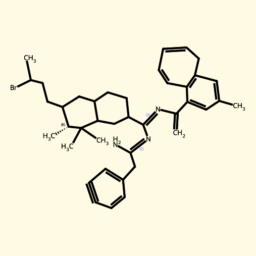 C=C(/N=C(\N=C(/N)Cc1cc#ccc1)C1CCC2CC(CCC(C)Br)[C@@H](C)C(C)(C)C2C1)c1cc(C)cc2c1C=CC=CC2